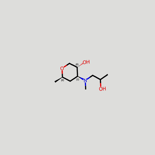 CC(O)CN(C)[C@H]1C[C@@H](C)OC[C@@H]1O